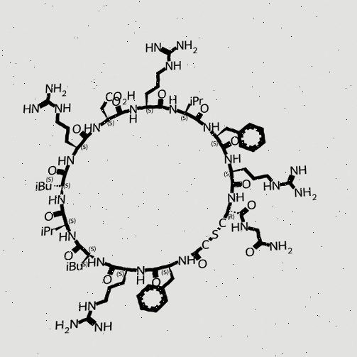 CC[C@H](C)[C@@H]1NC(=O)[C@H](CCCNC(=N)N)NC(=O)[C@H](Cc2ccccc2)NC(=O)CSC[C@@H](C(=O)NCC(N)=O)NC(=O)[C@H](CCCNC(=N)N)NC(=O)[C@H](Cc2ccccc2)NC(=O)[C@H](C(C)C)NC(=O)[C@H](CCCNC(=N)N)NC(=O)[C@H](CC(=O)O)NC(=O)[C@H](CCCNC(=N)N)NC(=O)[C@H]([C@@H](C)CC)NC(=O)[C@H](C(C)C)NC1=O